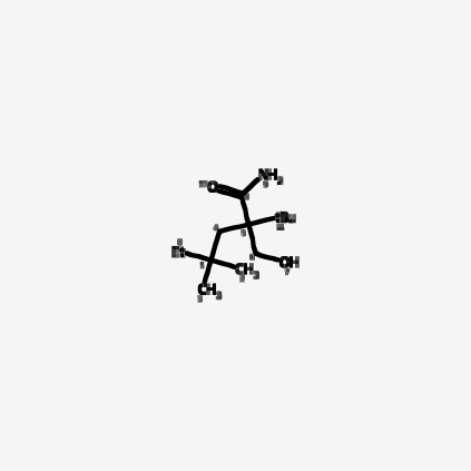 CCC(C)(C)CC(CO)(C(N)=O)C(C)(C)C